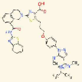 C=Nc1c(/C(=N\C)NC(C)C)cnn1-c1ccc(OCCCc2sc(N3CCc4cccc(C(=O)Nc5nc6ccccc6s5)c4C3)nc2C(=O)O)cc1